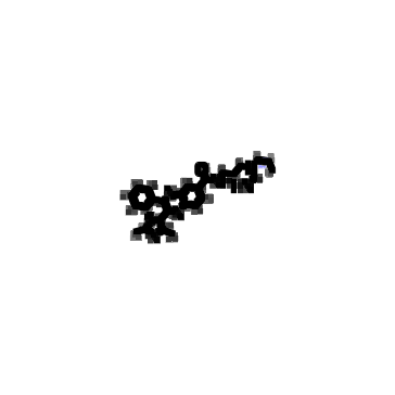 C/C=C\N(C=N)CCCNC(=O)c1ccc2nc(-c3sc(C)nc3C)c(-c3ccccc3)nc2c1